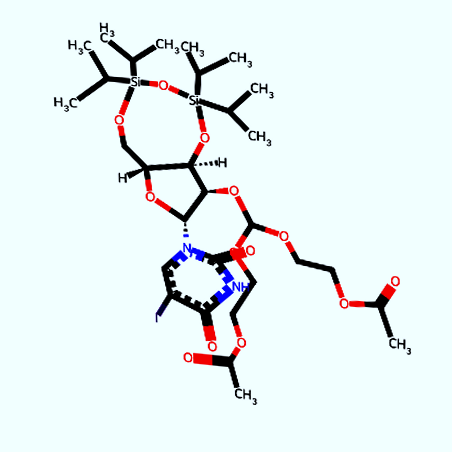 CC(=O)OCCOC(OCCOC(C)=O)O[C@@H]1[C@@H]2O[Si](C(C)C)(C(C)C)O[Si](C(C)C)(C(C)C)OC[C@H]2O[C@H]1n1cc(I)c(=O)[nH]c1=O